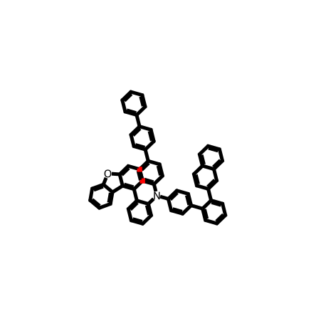 c1ccc(-c2ccc(-c3ccc(N(c4ccc(-c5ccccc5-c5ccc6ccccc6c5)cc4)c4ccccc4-c4cccc5oc6ccccc6c45)cc3)cc2)cc1